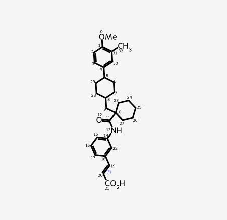 COc1ccc(C2CCC(CC3(C(=O)Nc4cccc(/C=C/C(=O)O)c4)CCCCC3)CC2)cc1C